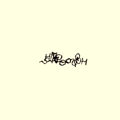 CCCSCCCN(CCOc1ccc(CC(OCC)C(=O)O)cc1)C(=O)NC(C)C